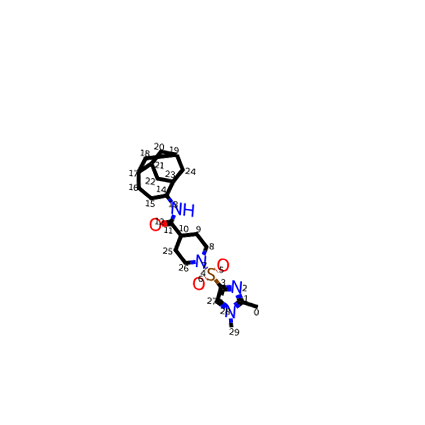 Cc1nc(S(=O)(=O)N2CCC(C(=O)NC3CCC4CC5CC4CC3C5)CC2)cn1C